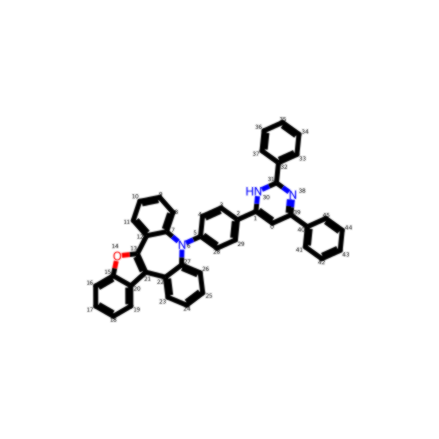 C1=C(c2ccc(N3c4ccccc4-c4oc5ccccc5c4-c4ccccc43)cc2)NC(c2ccccc2)N=C1c1ccccc1